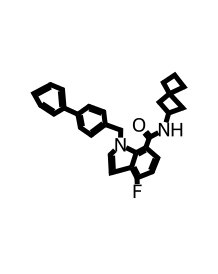 O=C(NC1CC2(CCC2)C1)c1ccc(F)c2ccn(Cc3ccc(-c4ccccc4)cc3)c12